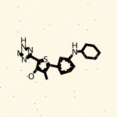 Cc1c(-c2cccc(NC3CCCCC3)c2)sc(-c2nn[nH]n2)c1[O]